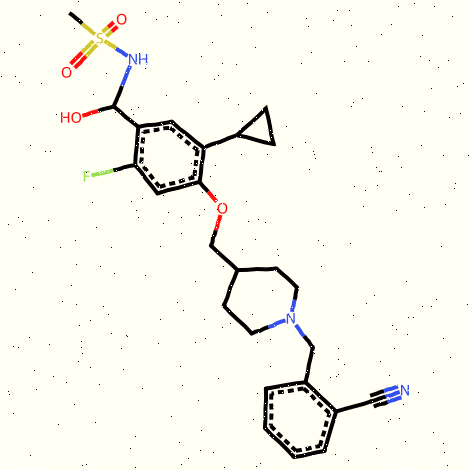 CS(=O)(=O)NC(O)c1cc(C2CC2)c(OCC2CCN(Cc3ccccc3C#N)CC2)cc1F